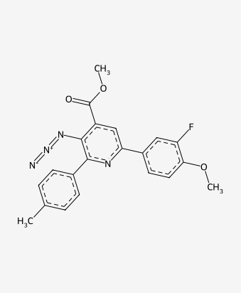 COC(=O)c1cc(-c2ccc(OC)c(F)c2)nc(-c2ccc(C)cc2)c1N=[N+]=[N-]